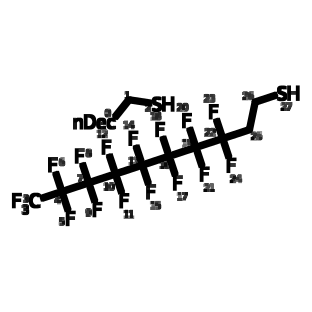 CCCCCCCCCCCS.FC(F)(F)C(F)(F)C(F)(F)C(F)(F)C(F)(F)C(F)(F)C(F)(F)C(F)(F)CCS